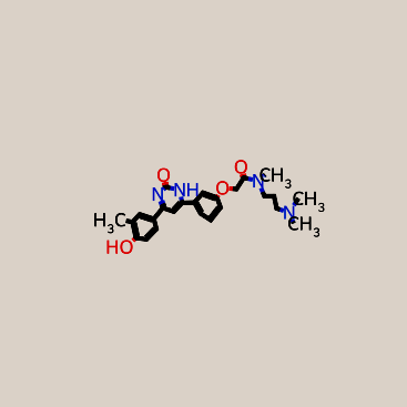 Cc1cc(-c2cc(-c3cccc(OCC(=O)N(C)CCCN(C)C)c3)[nH]c(=O)n2)ccc1O